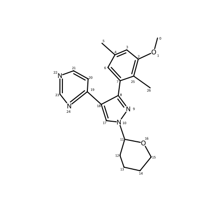 COc1cc(C)cc(-c2nn(C3CCCCO3)cc2-c2ccncn2)c1C